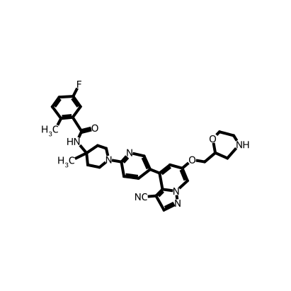 Cc1ccc(F)cc1C(=O)NC1(C)CCN(c2ccc(-c3cc(OCC4CNCCO4)cn4ncc(C#N)c34)cn2)CC1